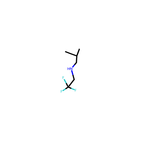 CC(C)CNCC(F)(F)F